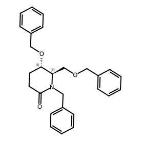 O=C1CC[C@H](OCc2ccccc2)[C@@H](COCc2ccccc2)N1Cc1ccccc1